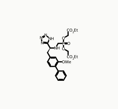 CCOC(=O)COP(=O)(CN[C@@H](Cc1ccc(-c2ccccc2)c(OC)c1)c1nnn[nH]1)OCC(=O)OCC